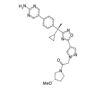 CO[C@H]1CCN(C(=O)Cn2cc(-c3nc([C@@](C)(c4ccc(-c5cnc(N)nc5)cc4)C4CC4)no3)cn2)C1